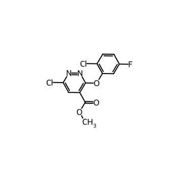 COC(=O)c1cc(Cl)nnc1Oc1cc(F)ccc1Cl